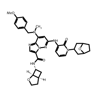 COc1ccc(CN(C)c2cc(Nc3cccn(C4CC5CCC(C4)O5)c3=O)nn3c(C(=O)N[C@@H]4C[C@H]5CCO[C@H]54)cnc23)cc1